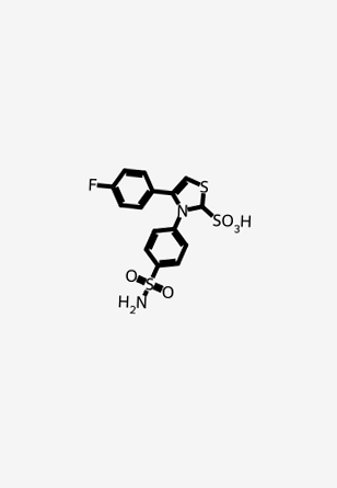 NS(=O)(=O)c1ccc(N2C(c3ccc(F)cc3)=CSC2S(=O)(=O)O)cc1